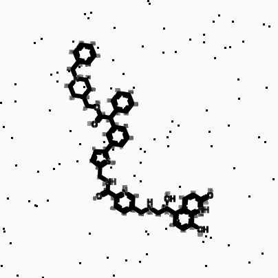 O=C(NCc1ccc(-c2cccc(C(C(=O)OCC3CCN(Cc4ccccc4)CC3)c3ccccc3)c2)s1)c1ccc(CNC[C@H](O)c2ccc(O)c3[nH]c(=O)ccc23)cn1